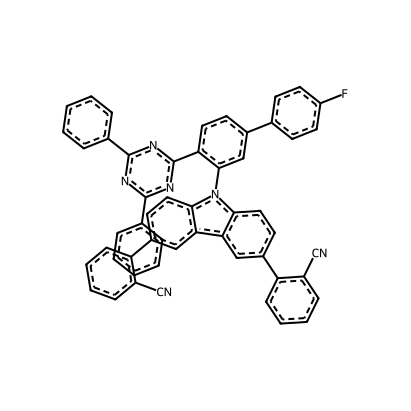 N#Cc1ccccc1-c1ccc2c(c1)c1cc(-c3ccccc3C#N)ccc1n2-c1cc(-c2ccc(F)cc2)ccc1-c1nc(-c2ccccc2)nc(-c2ccccc2)n1